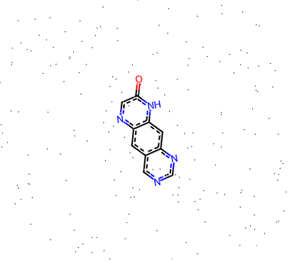 O=c1cnc2cc3cn[c]nc3cc2[nH]1